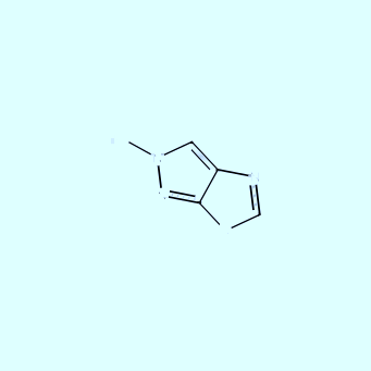 CC(C)n1cc2ncsc2n1